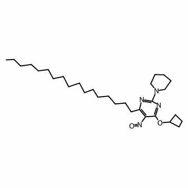 CCCCCCCCCCCCCCCCCc1nc(N2CCCCC2)nc(OC2CCC2)c1N=O